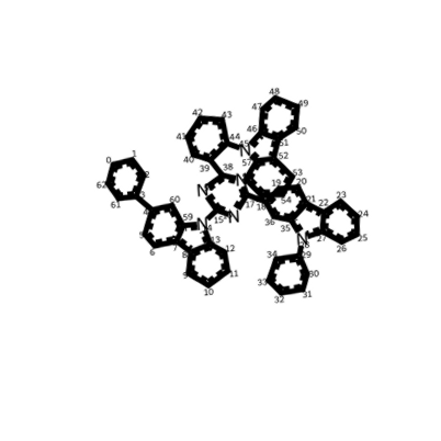 c1ccc(-c2ccc3c4ccccc4n(-c4nc(-c5ccc6c7ccccc7n(-c7ccccc7)c6c5)nc(-c5ccccc5-n5c6ccccc6c6ccccc65)n4)c3c2)cc1